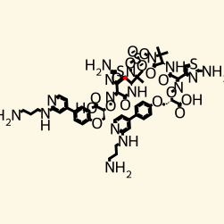 CC1(C)[C@H](NC(=O)/C(=N\O[C@@H](COc2ccc(-c3ccnc(NCCCN)c3)cc2)C(=O)O)c2csc(N)n2)C(=O)N1OS(=O)(=O)ON1C(=O)[C@@H](NC(=O)/C(=N\O[C@@H](COc2ccc(-c3ccnc(NCCCN)c3)cc2)C(=O)O)c2csc(N)n2)C1(C)C